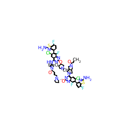 C=CC(=O)N1CC2CN(c3nc(OC[C@@H]4CCCN4C/C=C/C(=O)N4CC(Nc5nc(OC6CN(C)CC6OC)nc6c(F)c(-c7ccc(F)c8sc(N)nc78)c(Cl)cc56)C4)nc4c(F)c(-c5ccc(F)c6sc(N)nc56)c(Cl)cc34)CC2C1